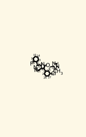 Cn1ncnc1COc1nn2c(-c3ccccc3F)nncc2c1-c1cccc(Cl)c1